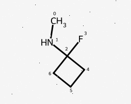 CNC1(F)CCC1